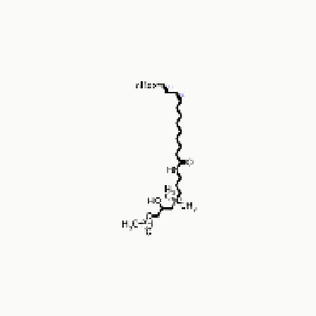 CCCCCC/C=C/C=C\CCCCCCCC(=O)NCCC[N+](C)(C)CC(O)CO[PH](C)=O